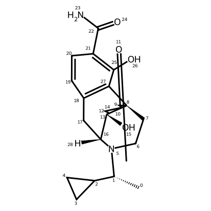 C[C@H](C1CC1)N1CC[C@]23CC(=O)CC[C@@]2(O)[C@H]1Cc1ccc(C(N)=O)c(O)c13